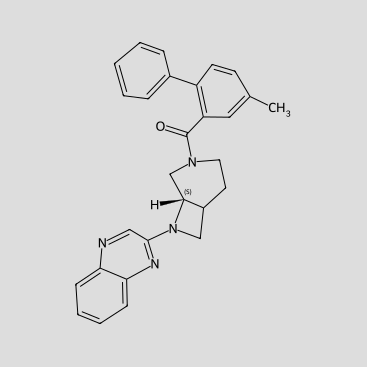 Cc1ccc(-c2ccccc2)c(C(=O)N2CCC3CN(c4cnc5ccccc5n4)[C@@H]3C2)c1